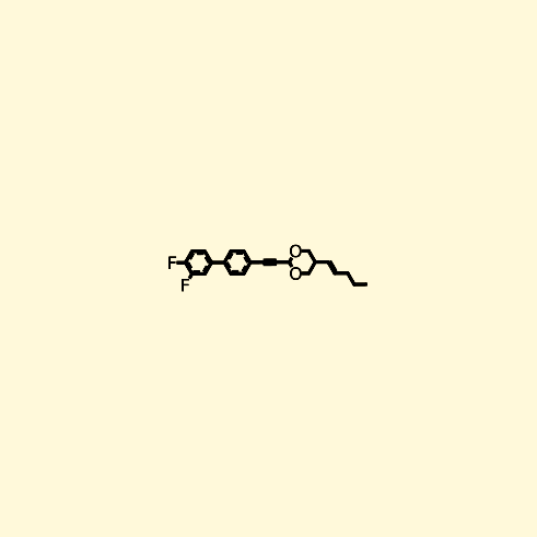 CCC/C=C/C1COC(C#Cc2ccc(-c3ccc(F)c(F)c3)cc2)OC1